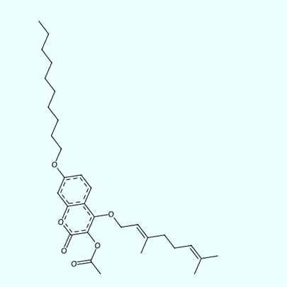 CCCCCCCCCCOc1ccc2c(OC/C=C(\C)CCC=C(C)C)c(OC(C)=O)c(=O)oc2c1